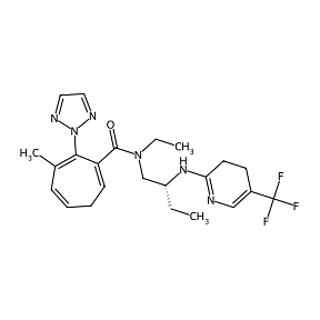 CC[C@H](CN(CC)C(=O)C1=CCC=CC(C)=C1n1nccn1)NC1=NC=C(C(F)(F)F)CC1